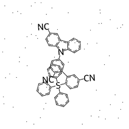 N#Cc1ccc(S(c2ccccc2)(c2ccccc2)c2ccccc2)c(-c2cc(-n3c4ccccc4c4cc(C#N)ccc43)ccc2C#N)c1